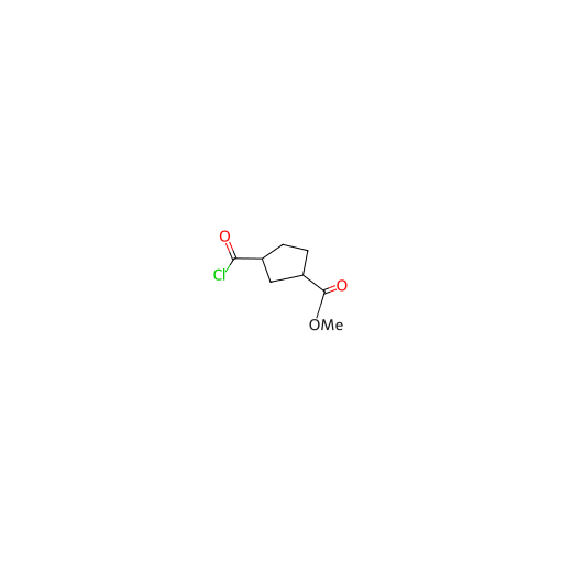 COC(=O)C1CCC(C(=O)Cl)C1